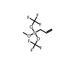 C=CC[Si](OC)(OC(F)(F)F)OC(F)(F)F